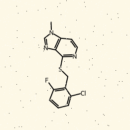 Cn1cnc2c(SCc3c(F)cccc3Cl)nccc21